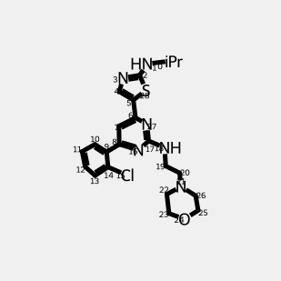 CC(C)Nc1ncc(-c2cc(-c3ccccc3Cl)nc(NCCN3CCOCC3)n2)s1